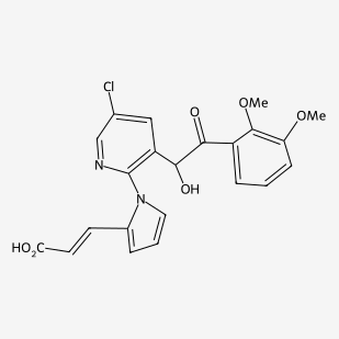 COc1cccc(C(=O)C(O)c2cc(Cl)cnc2-n2cccc2/C=C/C(=O)O)c1OC